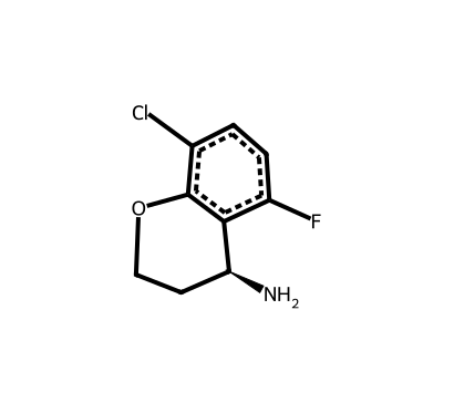 N[C@H]1CCOc2c(Cl)ccc(F)c21